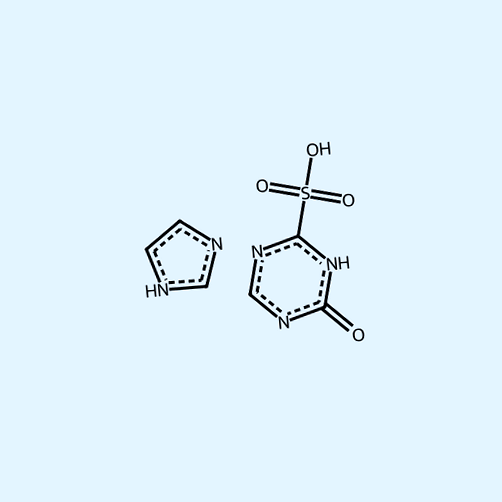 O=c1ncnc(S(=O)(=O)O)[nH]1.c1c[nH]cn1